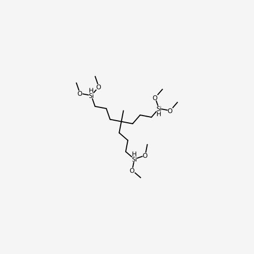 CO[SiH](CCCC(C)(CCC[SiH](OC)OC)CCC[SiH](OC)OC)OC